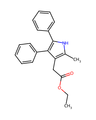 CCOC(=O)Cc1c(C)[nH]c(-c2ccccc2)c1-c1ccccc1